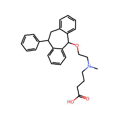 CN(CCCC(=O)O)CCOC1c2ccccc2CC(c2ccccc2)c2ccccc21